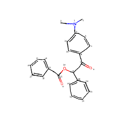 CN(C)c1ccc(C(=O)C(OC(=O)c2ccccc2)c2ccccc2)cc1